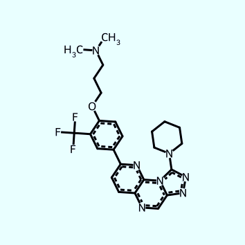 CN(C)CCCOc1ccc(-c2ccc3ncc4nnc(N5CCCCC5)n4c3n2)cc1C(F)(F)F